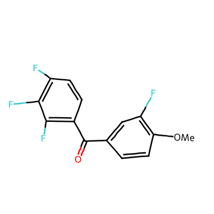 COc1ccc(C(=O)c2ccc(F)c(F)c2F)cc1F